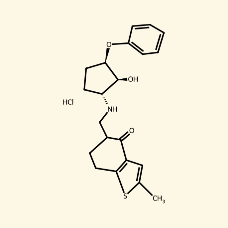 Cc1cc2c(s1)CCC(CN[C@@H]1CC[C@@H](Oc3ccccc3)[C@H]1O)C2=O.Cl